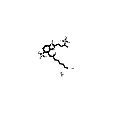 CCCCCCCCCCCCCCCC(=S)Cc1c(S(=O)(=O)[O-])ccc2[nH]c(CCC(C)S(=O)(=O)[O-])nc12.[K+].[K+]